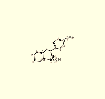 COc1ccc(C(N)Cc2ccccc2[N+](=O)[O-])cc1.Cl